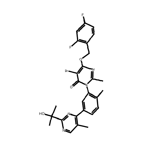 Cc1ccc(-c2nc(C(C)(C)O)ncc2C)cc1-n1c(C)nc(OCc2ccc(F)cc2F)c(Br)c1=O